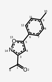 CC(=O)c1cc(-c2ccc(C)cc2)on1